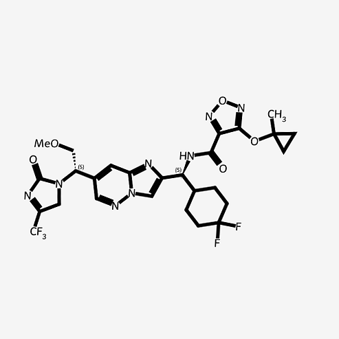 COC[C@H](c1cnn2cc([C@@H](NC(=O)c3nonc3OC3(C)CC3)C3CCC(F)(F)CC3)nc2c1)N1CC(C(F)(F)F)=NC1=O